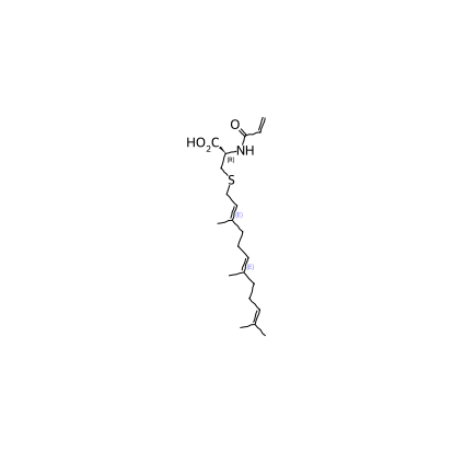 C=CC(=O)N[C@@H](CSC/C=C(\C)CC/C=C(\C)CCC=C(C)C)C(=O)O